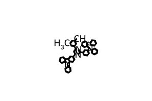 Cc1cc(C)cc(-c2cc(-c3ccc4c(c3)c3ccccc3n4-c3ccccc3)nc(-c3cccc([Si](c4ccccc4)(c4ccccc4)c4ccccc4)c3)n2)c1